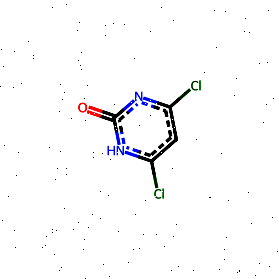 O=c1nc(Cl)cc(Cl)[nH]1